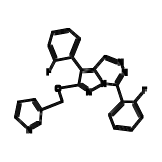 Fc1ccccc1-c1c(OCc2cccnc2)nn2c(-c3ccccc3F)nncc12